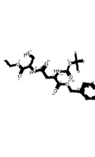 CCOC(=O)C(CS)NC(=O)CC(NC(=O)OC(C)(C)C)C(=O)OCc1ccccc1